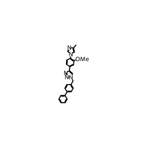 COc1cc(-c2cn(Cc3ccc(-c4ccccc4)cc3)nn2)ccc1-n1cnc(C)c1